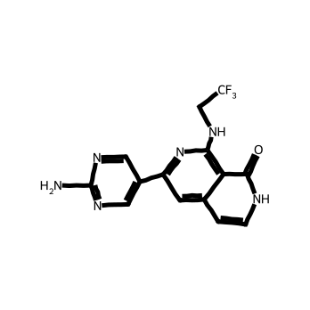 Nc1ncc(-c2cc3cc[nH]c(=O)c3c(NCC(F)(F)F)n2)cn1